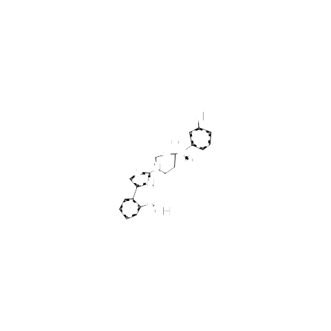 COc1ccccc1-c1csc(N2CCC(S(=O)(=O)c3cccc(Cl)c3)CC2)n1